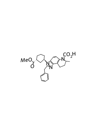 COC(=O)[C@@H]1CCC[C@@H](n2c(Cc3ccccc3)nc3c4c(ccc32)N(C(=O)O)C(C)CC4)C1